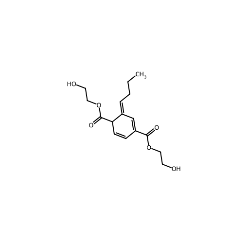 CCCC=C1C=C(C(=O)OCCO)C=CC1C(=O)OCCO